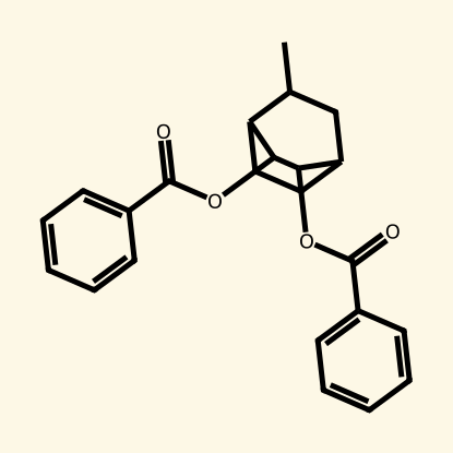 CC1CC2CCC1C(OC(=O)c1ccccc1)C2OC(=O)c1ccccc1